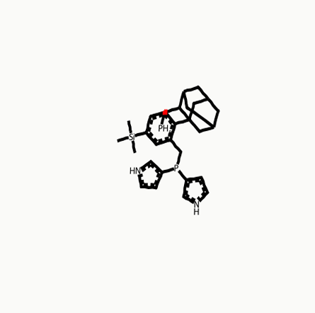 C[Si](C)(C)c1ccc(C23CC4CC(CC(C4)C2CP)C3)c(CP(c2cc[nH]c2)c2cc[nH]c2)c1